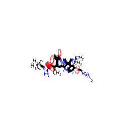 CC[C@@]1(OC(=O)NC(C)C)C(=O)OCc2c1cc1n(c2=O)Cc2c-1nc1cc(F)c(OC(=O)CN)cc1c2CN(C)C